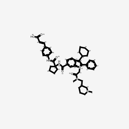 CN1CCCC(CN(C)C(=O)Cn2c(-c3ccccc3)c(C3CCCCC3)c3ccc(C(=O)NC4(C(=O)Nc5ccc(C=CC(=O)O)cc5)CCCC4)cc32)C1